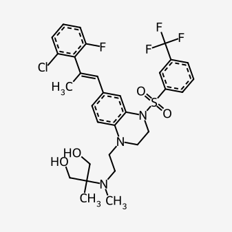 C/C(=C\c1ccc2c(c1)N(S(=O)(=O)c1cccc(C(F)(F)F)c1)CCN2CCN(C)C(C)(CO)CO)c1c(F)cccc1Cl